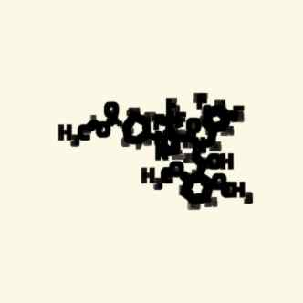 CCOC(=O)[C@H]1CC[C@H](n2ncc(C(=O)N(Cc3cc(F)cc(F)c3)CC(O)c3c(OC)cccc3OC)c2C(F)(F)F)CC1